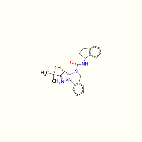 CC(C)(C)c1cc2n(n1)-c1ccccc1CN2C(=O)NC1CCc2ccccc21